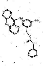 Nc1cc(COC(=O)Nc2ccccc2)cc(Nc2c3ccccc3nc3ccccc23)c1